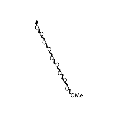 C#COCCOCCOCCOCCOCCOCCOCCOCCOCCOC